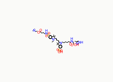 CC[N+]1=C(/C=C/C=C2/N(CCCCCC(=O)N[C@H](Cc3c[nH]cn3)C(=O)O)c3ccc(S(=O)(=O)O)cc3C2(C)C)C(C)(C)c2cc(S(=O)(=O)NCCCC(=O)OCCN(C)C)ccc21